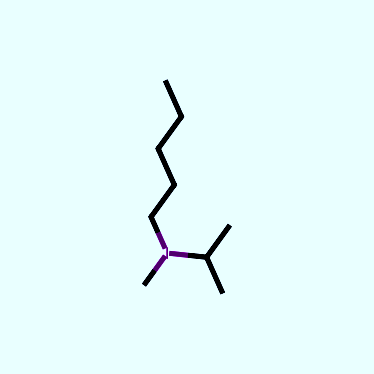 CCCCCI(C)C(C)C